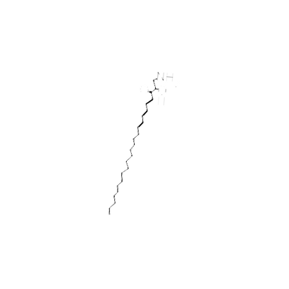 CCCCCCCCCCCCCCCC=CC=CC=CC(=O)C(O)CN